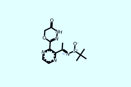 C/C(=N\[S+]([O-])C(C)(C)C)c1nccnc1C1=NNC(=O)CO1